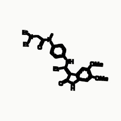 CCC(Nc1ccc(N(C)C(=O)CN(CC)CC)cc1)=C1C(=O)Nc2cc(OC)c(OC)cc21